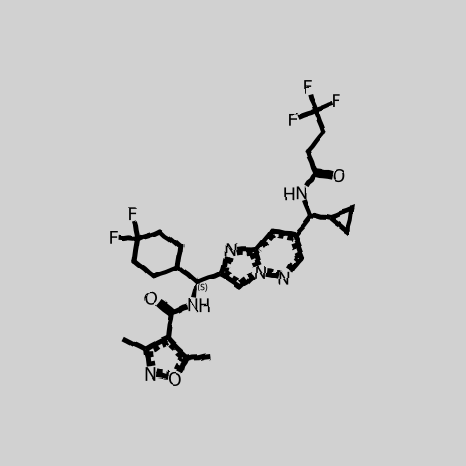 Cc1noc(C)c1C(=O)N[C@H](c1cn2ncc(C(NC(=O)CCC(F)(F)F)C3CC3)cc2n1)C1CCC(F)(F)CC1